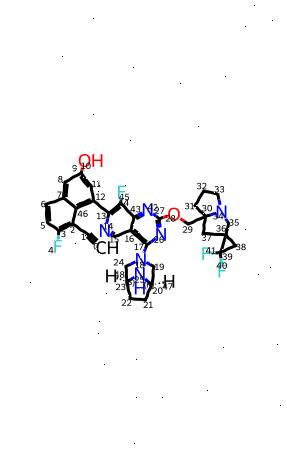 C#Cc1c(F)ccc2cc(O)cc(-c3ncc4c(N5C[C@H]6CC[C@@H](C5)N6)nc(OCC56CCCN5CC5(C6)CC5(F)F)nc4c3F)c12